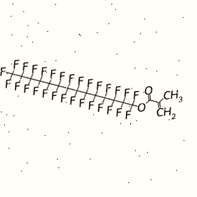 C=C(C)C(=O)OC(F)(F)C(F)(F)C(F)(F)C(F)(F)C(F)(F)C(F)(F)C(F)(F)C(F)(F)C(F)(F)C(F)(F)C(F)(F)C(F)(F)C(F)(F)C(F)(F)F